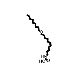 CCCCCCCCCOCCCCC/C=C\CCCCNC(=O)O